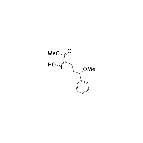 COC(=O)C(CCC(OC)c1ccccc1)=NO